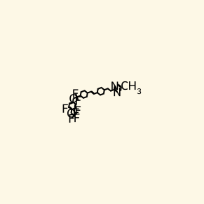 Cc1cnc(CCC2CCC(/C=C/C3CCC(C(F)(F)Oc4cc(F)c(OC(F)(F)F)c(F)c4)CC3)CC2)nc1